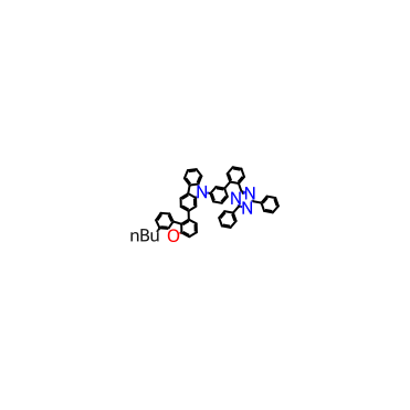 CCCCc1cccc2c1oc1cccc(-c3ccc4c5ccccc5n(-c5cccc(-c6ccccc6-c6nc(-c7ccccc7)nc(-c7ccccc7)n6)c5)c4c3)c12